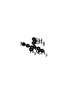 CC1(C)c2ccccc2-c2ccc(-c3cc(-c4ccc5c(c4)C(C)(C)c4ccccc4-5)c4cc(-c5ccc(-c6ccncc6)cc5)c5ccccc5c4n3)cc21